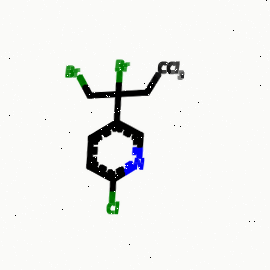 Clc1ccc(C(Br)(CBr)CC(Cl)(Cl)Cl)cn1